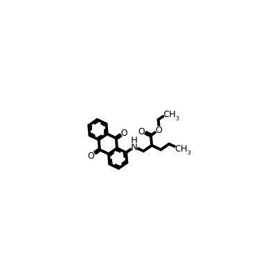 CCCC(CNc1cccc2c1C(=O)c1ccccc1C2=O)C(=O)OCC